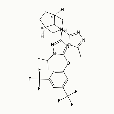 Cc1nnc(N2C[C@H]3CC[C@@H](C2)C3Nc2nc(Oc3cc(C(F)(F)F)cc(C(F)(F)F)c3)n(C(C)C)n2)o1